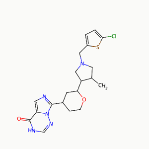 CC1CN(Cc2ccc(Cl)s2)CC1C1CC(c2ncc3c(=O)[nH]cnn23)CCO1